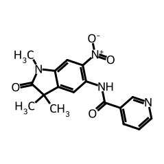 CN1C(=O)C(C)(C)c2cc(NC(=O)c3cccnc3)c([N+](=O)[O-])cc21